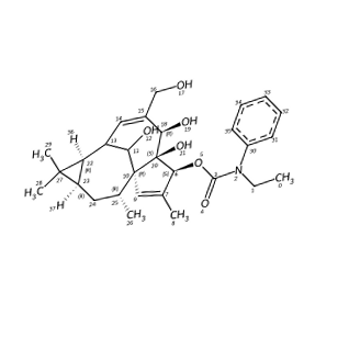 CCN(C(=O)O[C@H]1C(C)=C[C@]23C(O)C(C=C(CO)[C@@H](O)[C@]12O)[C@H]1[C@@H](C[C@H]3C)C1(C)C)c1ccccc1